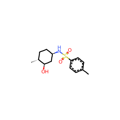 Cc1ccc(S(=O)(=O)N[C@@H]2CC[C@@H](C)[C@H](O)C2)cc1